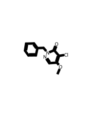 COc1cnn(Cc2ccccc2)c(=O)c1Cl